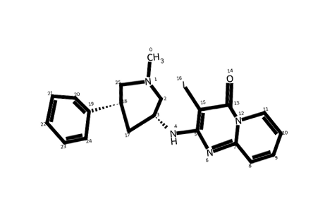 CN1C[C@H](Nc2nc3ccccn3c(=O)c2I)C[C@H](c2ccccc2)C1